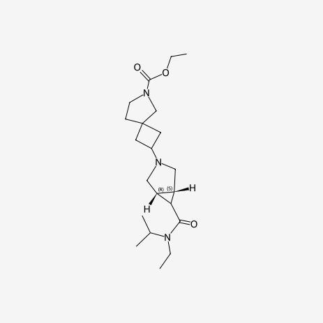 CCOC(=O)N1CCC2(CC(N3C[C@@H]4C(C(=O)N(CC)C(C)C)[C@@H]4C3)C2)C1